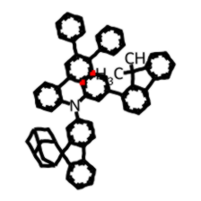 CC1(C)c2ccccc2-c2cccc(-c3cccc(N(c4ccc5c(c4)C4(c6ccccc6-5)C5CC6CC(C5)CC4C6)c4ccccc4-c4ccc(-c5ccccc5)c(-c5ccccc5)c4)c3)c21